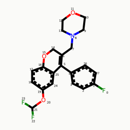 Fc1ccc(C2=C(CN3CCOCC3)COc3ccc(OC(F)F)cc32)cc1